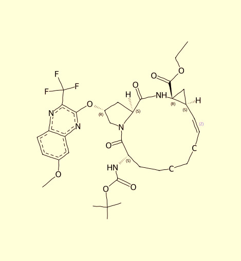 CCOC(=O)[C@@]12C[C@H]1/C=C\CCCCC[C@H](NC(=O)OC(C)(C)C)C(=O)N1C[C@H](Oc3nc4cc(OC)ccc4nc3C(F)(F)F)C[C@H]1C(=O)N2